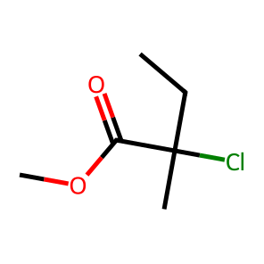 CCC(C)(Cl)C(=O)OC